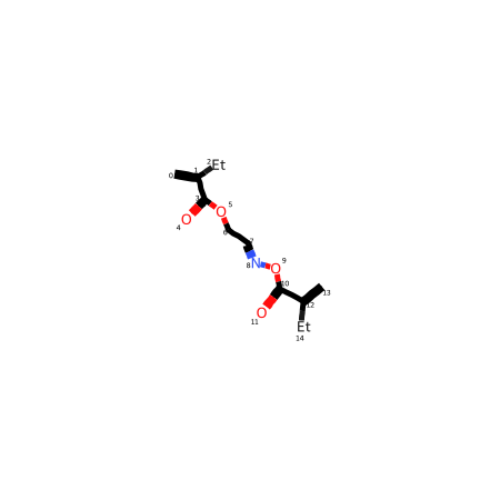 C=C(CC)C(=O)OCC=NOC(=O)C(=C)CC